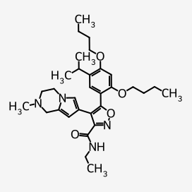 CCCCOc1cc(OCCCC)c(C(C)C)cc1-c1onc(C(=O)NCC)c1-c1cc2n(c1)CCN(C)C2